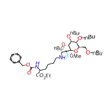 CCCCOC[C@H]1O[C@@](OC)(C(F)(F)CNCCCC[C@H](NC(=O)OCc2ccccc2)C(=O)OCC)[C@H](OCCCC)[C@@H](OCCCC)[C@H]1OCCCC